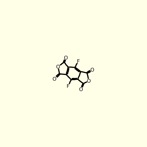 O=c1oc(=O)c2c(F)c3c(=O)oc(=O)c3c(F)c12